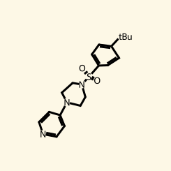 CC(C)(C)c1ccc(S(=O)(=O)N2CCN(c3ccncc3)CC2)cc1